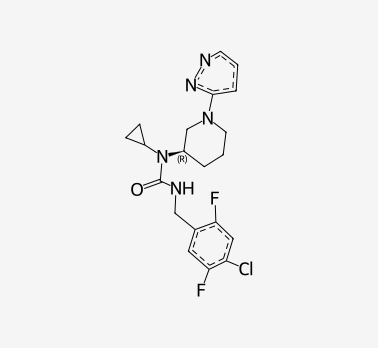 O=C(NCc1cc(F)c(Cl)cc1F)N(C1CC1)[C@@H]1CCCN(c2cccnn2)C1